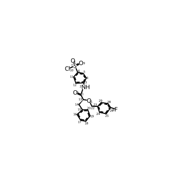 O=C(Nc1ccc(S(=O)(=O)Cl)cc1)[C@H](Cc1ccccc1)OCc1ccc(F)cc1